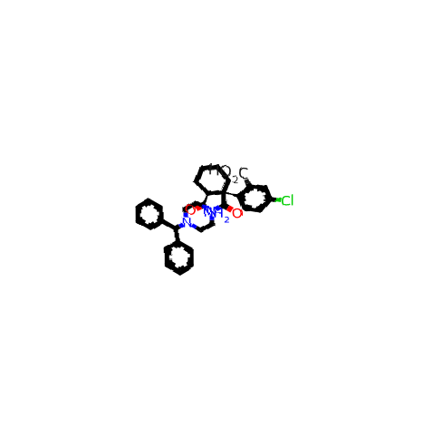 NC(=O)[C@H]1CCCC[C@@]1(C(=O)N1CCN(C(c2ccccc2)c2ccccc2)CC1)c1ccc(Cl)cc1C(=O)O